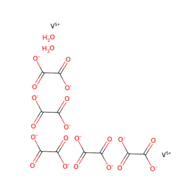 O.O.O=C([O-])C(=O)[O-].O=C([O-])C(=O)[O-].O=C([O-])C(=O)[O-].O=C([O-])C(=O)[O-].O=C([O-])C(=O)[O-].[V+5].[V+5]